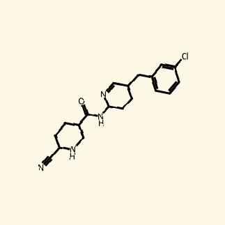 N#CC1CCC(C(=O)NC2CCC(Cc3cccc(Cl)c3)C=N2)CN1